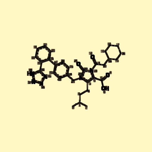 CC(C)CCc1c(C(=O)O)n(C(=O)CC2CCCCC2)c(=O)n1Cc1ccc(-c2ccccc2-c2nnn[nH]2)cc1